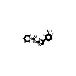 Nc1cccc(-c2csc(NC(=O)N3CCCCC3)n2)c1